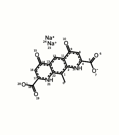 Cc1c2[nH]c(C(=O)[O-])cc(=O)c2cc2c(=O)cc(C(=O)[O-])[nH]c12.[Na+].[Na+]